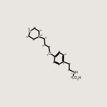 O=C(O)NCCc1ccc(OCCCN2CCOCC2)cc1